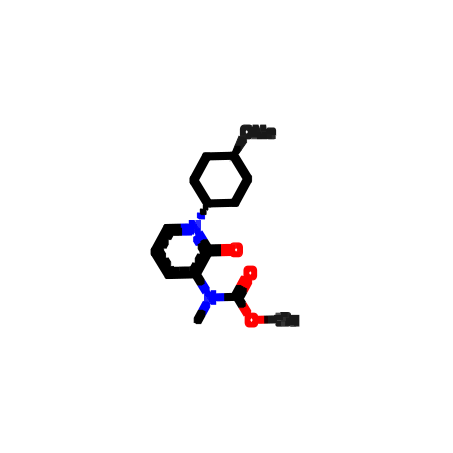 CO[C@H]1CC[C@H](n2cccc(N(C)C(=O)OC(C)(C)C)c2=O)CC1